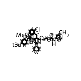 COc1ccc(Cl)c(Cc2c(NS(=O)(=O)c3ccc(C(C)(C)C)cc3)nc(N3CCOCC3)nc2OCCOC(=O)Nc2cc(C)no2)c1